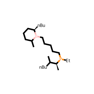 CCCCC(C)[C@H](C)P(CC)CCCCCB1C(C)CCC[C@H]1CCCC